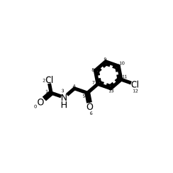 O=C(Cl)NCC(=O)c1cccc(Cl)c1